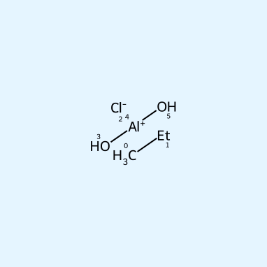 CCC.[Cl-].[OH][Al+][OH]